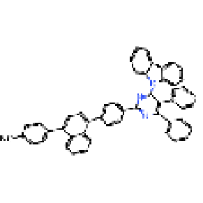 N#Cc1ccc(-c2ccc(-c3ccc(-c4nc(-c5ccccc5)c(-c5ccccc5)c(-n5c6ccccc6c6ccccc65)n4)cc3)c3ccccc23)cc1